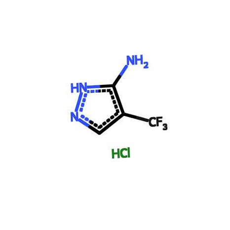 Cl.Nc1[nH]ncc1C(F)(F)F